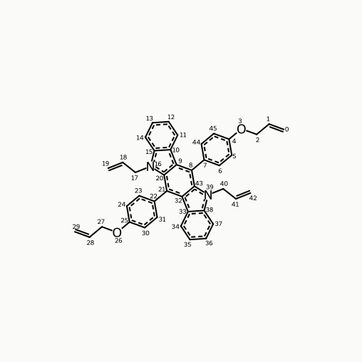 C=CCOc1ccc(-c2c3c4ccccc4n(CC=C)c3c(-c3ccc(OCC=C)cc3)c3c4ccccc4n(CC=C)c23)cc1